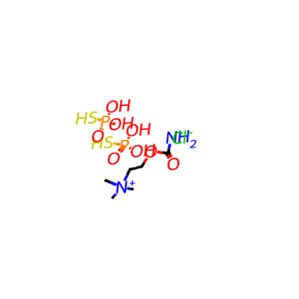 C[N+](C)(C)CCOC(N)=O.O=P(O)(O)S.O=P(O)(O)S.[Cl-]